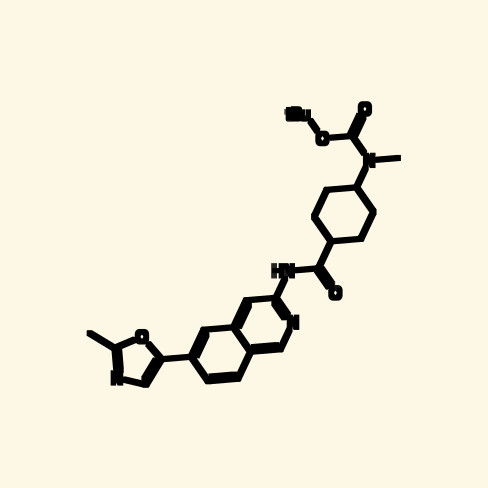 Cc1ncc(-c2ccc3cnc(NC(=O)C4CCC(N(C)C(=O)OC(C)(C)C)CC4)cc3c2)o1